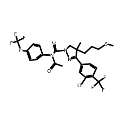 CSCCCC1(C)CN(C(=O)N(C(C)=O)c2ccc(OC(F)(F)F)cc2)N=C1c1ccc(C(F)(F)F)c(Cl)c1